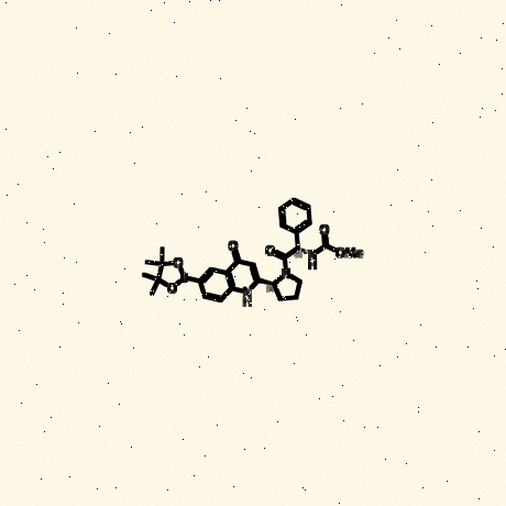 COC(=O)N[C@H](C(=O)N1CCC[C@H]1c1cc(=O)c2cc(B3OC(C)(C)C(C)(C)O3)ccc2[nH]1)c1ccccc1